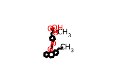 CCCc1ccc2c(c1)C(OCCOc1ccc(CC(OCC)C(=O)O)cc1)c1ccccc1C=C2